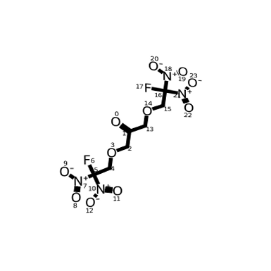 O=C(COCC(F)([N+](=O)[O-])[N+](=O)[O-])COCC(F)([N+](=O)[O-])[N+](=O)[O-]